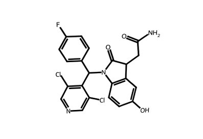 NC(=O)CC1C(=O)N(C(c2ccc(F)cc2)c2c(Cl)cncc2Cl)c2ccc(O)cc21